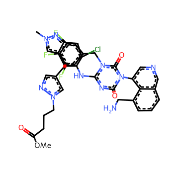 COC(=O)CCCn1cc(-c2c(Nc3nc(=O)n(-c4cncc5cccc(CN)c45)c(=O)n3Cc3cc(F)c(F)c(F)c3)c(Cl)cc3nn(C)cc23)cn1